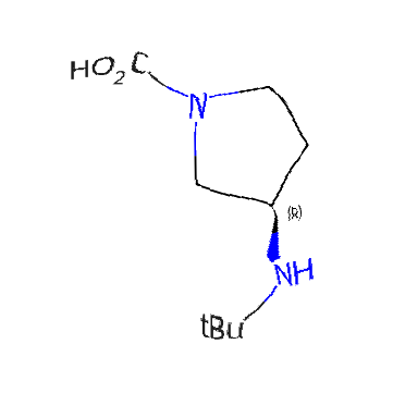 CC(C)(C)N[C@@H]1CCN(C(=O)O)C1